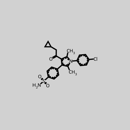 Cc1c(C(=O)CC2CC2)c(-c2ccc(S(N)(=O)=O)cc2)c(C)n1-c1ccc(Cl)cc1